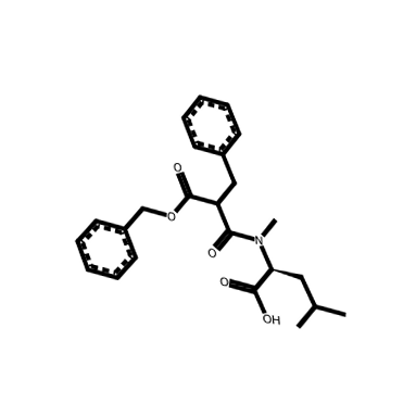 CC(C)C[C@@H](C(=O)O)N(C)C(=O)C(Cc1ccccc1)C(=O)OCc1ccccc1